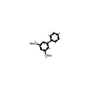 COc1cc(OC)cc(-c2cc[c]cc2)c1